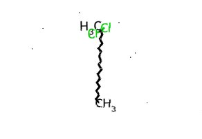 CCCCCCCCCCCCCCCCCC(C)(Cl)Cl